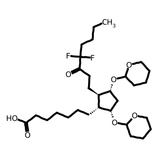 CCCCC(F)(F)C(=O)CC[C@@H]1[C@@H](CCCCCCC(=O)O)[C@@H](OC2CCCCO2)C[C@H]1OC1CCCCO1